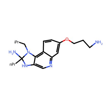 CCCC1(N)Nc2cnc3cc(OCCCN)ccc3c2N1CC(C)C